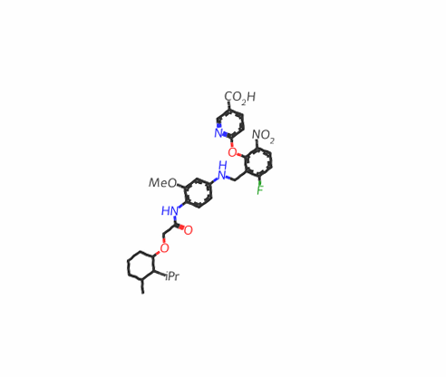 COc1cc(NCc2c(F)ccc([N+](=O)[O-])c2Oc2ccc(C(=O)O)cn2)ccc1NC(=O)COC1CCCC(C)C1C(C)C